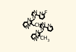 CCc1c(Cn2ccnc2-c2cccc(F)n2)nc2cccnn12.Cc1c(Cn2ccnc2-c2ccccn2)nc2cccnn12